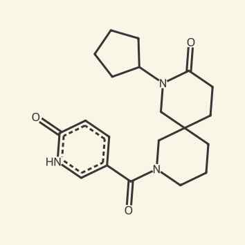 O=C(c1ccc(=O)[nH]c1)N1CCCC2(CCC(=O)N(C3CCCC3)C2)C1